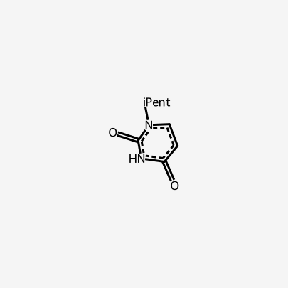 CCCC(C)n1ccc(=O)[nH]c1=O